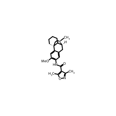 COc1cc2c(cc1NC(=O)c1c(C)noc1C)C[C@H]1C3CCCC[C@@]23CCN1C